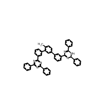 Cc1ccc(-c2cccc(C3=NC(c4ccccc4)NC(c4ccccc4)=N3)c2)cc1-c1cccc(-c2nc(-c3ccccc3)nc(-c3ccccc3)n2)c1